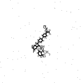 C[C@@H](OC(=O)Nc1c(-c2ccc(-c3ccc(C4(OC=O)CC4)cc3)cc2)sc2ncc(F)cc12)c1ccccc1Cl